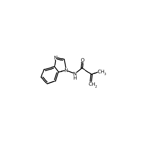 C=C(C)C(=O)Nn1cnc2ccccc21